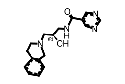 O=C(NC[C@@H](O)CN1CCc2ccccc2C1)c1cncnc1